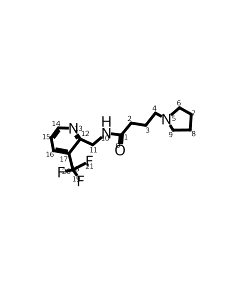 O=C(CCCN1CCCC1)NCc1ncccc1C(F)(F)F